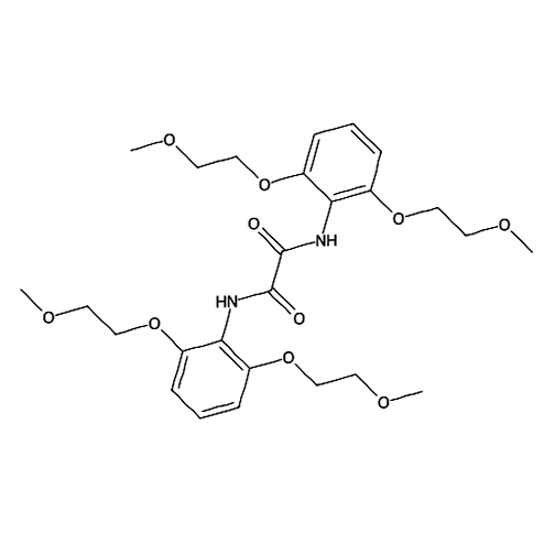 COCCOc1cccc(OCCOC)c1NC(=O)C(=O)Nc1c(OCCOC)cccc1OCCOC